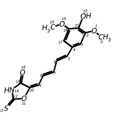 COc1cc(/C=C/C=C/C=C2/OC(=S)NC2=O)cc(OC)c1O